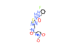 COCCn1nc(C(=O)N(C)Cc2nsc(NC(=O)NCc3cccc(F)c3)n2)ccc1=O